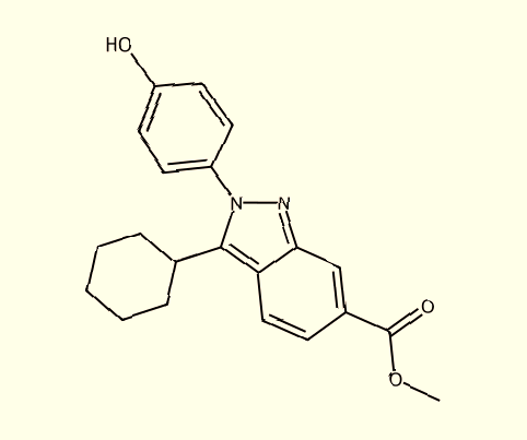 COC(=O)c1ccc2c(C3CCCCC3)n(-c3ccc(O)cc3)nc2c1